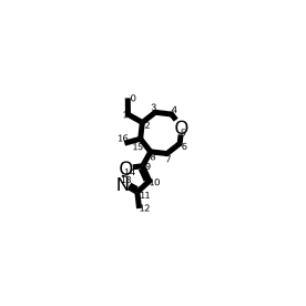 CCC1CCOCCC(c2cc(C)no2)C1C